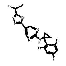 Fc1cc(F)c(C2(Nc3ncc(-c4nnc(C(F)F)o4)cn3)CC2)c(F)c1